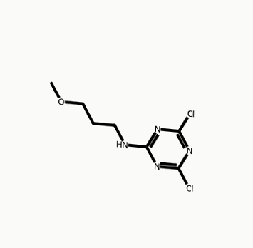 COCCCNc1nc(Cl)nc(Cl)n1